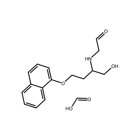 O=CCNC(CO)CCOc1cccc2ccccc12.O=CO